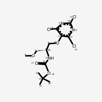 COC[C@H](COc1c(Cl)nc(Cl)nc1Cl)NC(=O)OC(C)(C)C